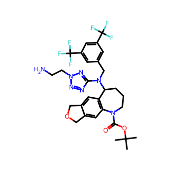 CC(C)(C)OC(=O)N1CCCC(N(Cc2cc(C(F)(F)F)cc(C(F)(F)F)c2)c2nnn(CCN)n2)c2cc3c(cc21)COC3